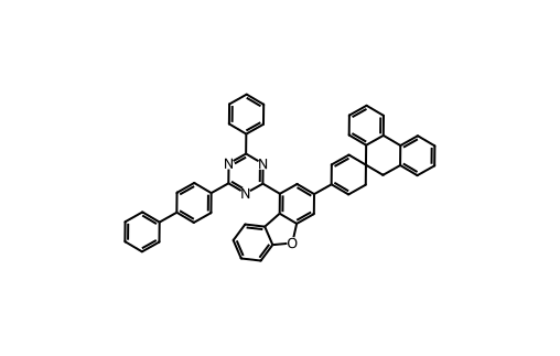 C1=CC2(CC=C1c1cc(-c3nc(-c4ccccc4)nc(-c4ccc(-c5ccccc5)cc4)n3)c3c(c1)oc1ccccc13)Cc1ccccc1-c1ccccc12